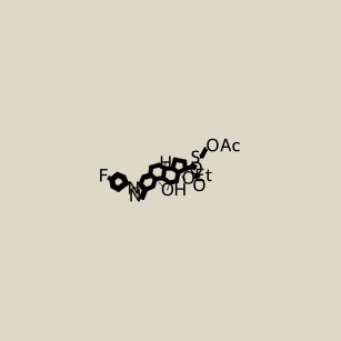 CCC(=O)O[C@]1(C(=O)SCCOC(C)=O)CCC2[C@@H]3CCC4=Cc5c(cnn5-c5ccc(F)cc5)C[C@]4(C)C3[C@@H](O)C[C@@]21C